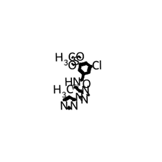 C[C@@H](NC(=O)c1cc(Cl)cc(S(C)(=O)=O)c1)c1ncnn1-c1ccncn1